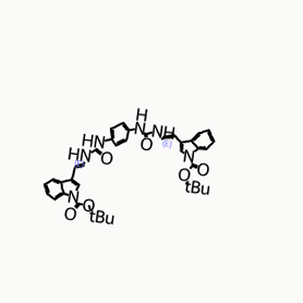 CC(C)(C)OC(=O)n1cc(/C=C/NC(=O)Nc2ccc(NC(=O)N/C=C/c3cn(C(=O)OC(C)(C)C)c4ccccc34)cc2)c2ccccc21